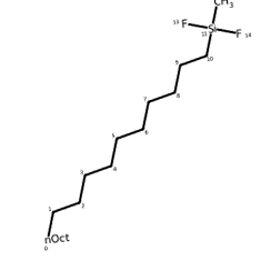 CCCCCCCCCCCCCCCCCC[Si](C)(F)F